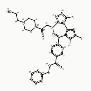 Cc1sc2c(c1C)C(c1ccc(C(=O)OCc3ccccc3)cc1)=N[C@@H](CC(=O)N1CCN(CCO)CC1)c1nnc(C)n1-2